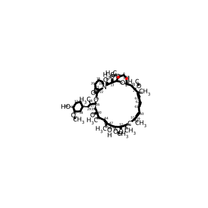 CO[C@H]1C[C@@H]2CC[C@@H](C)[C@@](OC)(O2)C(=O)C(=O)N2CCCC[C@H]2C(=O)O[C@H]([C@H](C)C[C@@H]2CC[C@@H](O)[C@H](OC)C2)CC(=O)[C@H](C)/C=C(\C)[C@@H](O)[C@@H](OC)C(=O)[C@H](C)C[C@H](C)/C=C/C=C/C=C/1C